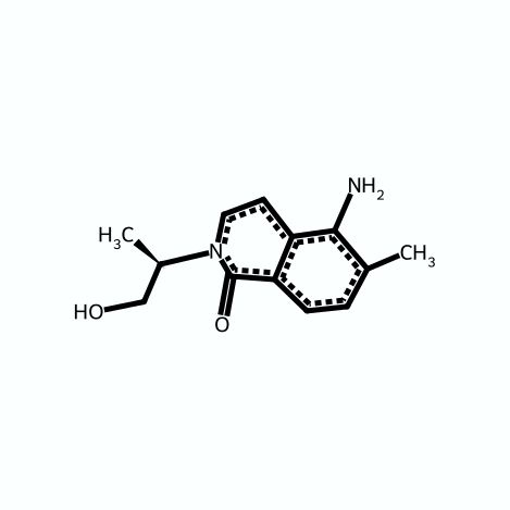 Cc1ccc2c(=O)n([C@H](C)CO)ccc2c1N